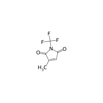 CC1=CC(=O)N(C(F)(F)F)C1=O